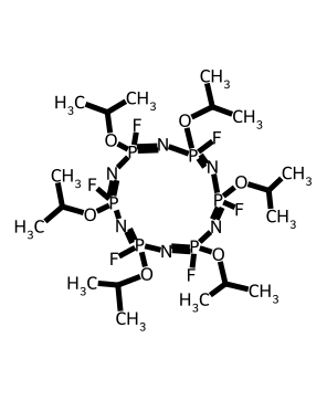 CC(C)OP1(F)=NP(F)(OC(C)C)=NP(F)(OC(C)C)=NP(F)(OC(C)C)=NP(F)(OC(C)C)=NP(F)(OC(C)C)=N1